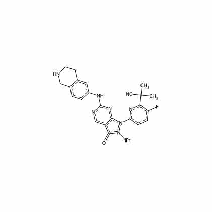 CC(C)n1c(=O)c2cnc(Nc3ccc4c(c3)CCNC4)nc2n1-c1ccc(F)c(C(C)(C)C#N)n1